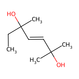 CCC(C)(O)C=CC(C)(C)O